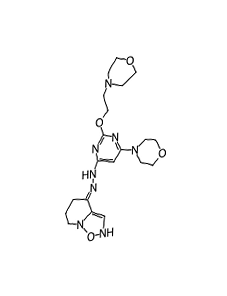 C1=C2C(=NNc3cc(N4CCOCC4)nc(OCCN4CCOCC4)n3)CCCN2ON1